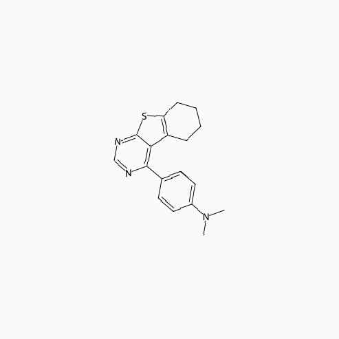 CN(C)c1ccc(-c2ncnc3sc4c(c23)CCCC4)cc1